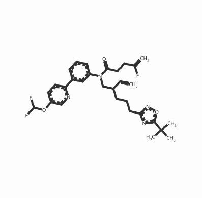 C=CC(CCCc1noc(C(C)(C)C)n1)CN(C(=O)CCC(=C)F)c1cccc(-c2ccc(OC(F)F)cn2)c1